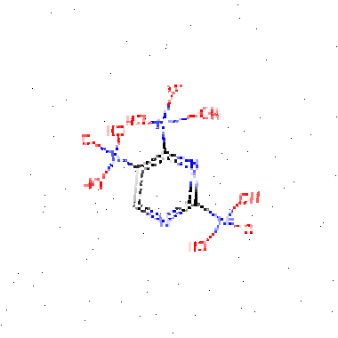 [O-][N+](O)(O)c1ncc([N+]([O-])(O)O)c([N+]([O-])(O)O)n1